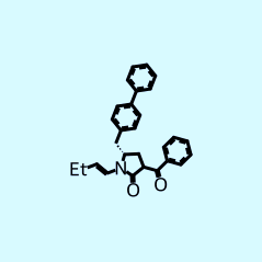 CC/C=C/N1C(=O)C(C(=O)c2ccccc2)C[C@H]1Cc1ccc(-c2ccccc2)cc1